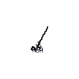 CCCCCCCCCCCCSC1=N/C(=C(/O)c2ccccn2)C(=O)S1